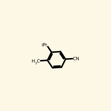 C[C](C)c1cc(C#N)ccc1C